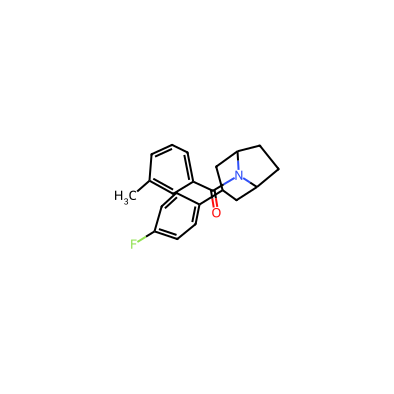 Cc1cccc(C(=O)N2C3CCC2CC(c2ccc(F)cc2)C3)c1